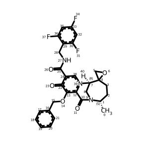 C[C@H]1CCC2(CO2)[C@H]2CN1C(=O)c1c(OCc3ccccc3)c(=O)c(C(=O)NCc3c(F)cc(F)cc3F)cn12